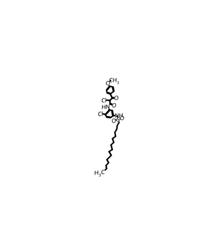 CCCCCCCCCCCCCCCCS(=O)(=O)Nc1ccc(Cl)c(NC(=O)C(Cl)C(=O)c2ccc(OC)cc2)c1